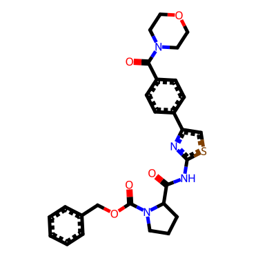 O=C(Nc1nc(-c2ccc(C(=O)N3CCOCC3)cc2)cs1)C1CCCN1C(=O)OCc1ccccc1